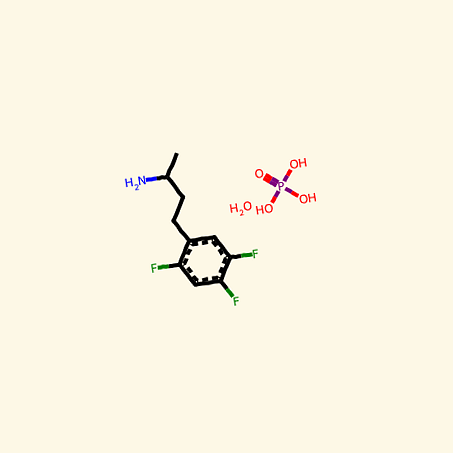 CC(N)CCc1cc(F)c(F)cc1F.O.O=P(O)(O)O